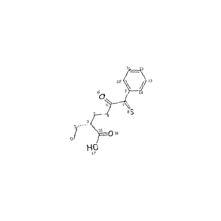 CC[C@H](CCC(=O)C(=S)c1ccccc1)C(=O)O